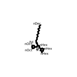 CCCCCCCCCCCCCCCCCCCCCCC#CC1=C(c2cc(CCCCCCCC)cc(CCCCCCCC)c2)[N+](=[N-])C(c2cc(CCCCCC)cc(CCCCCC)c2)=C1CCCCCC.[Pd]